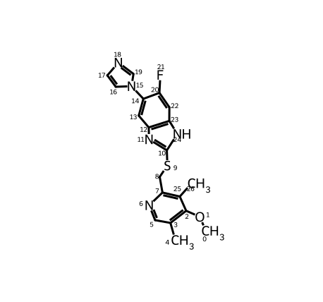 COc1c(C)cnc(CSc2nc3cc(-n4ccnc4)c(F)cc3[nH]2)c1C